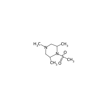 CC1CN(C)CC(C)N1S(C)(=O)=O